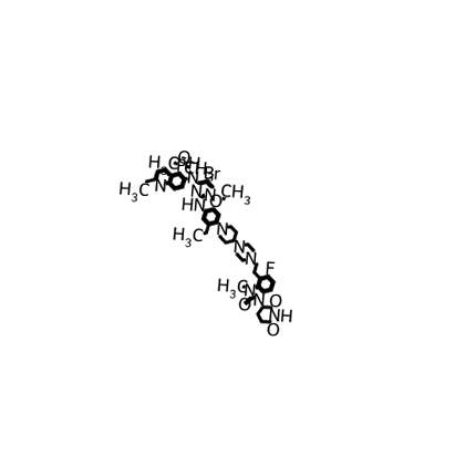 CCOc1cc(N2CCC(N3CCN(CCc4c(F)ccc5c4n(C)c(=O)n5C4CCC(=O)NC4=O)CC3)CC2)c(CC)cc1Nc1ncc(Br)c(Nc2ccc3nc(CC)ccc3c2P(C)(C)=O)n1